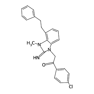 Cn1c(=N)n(CC(=O)c2ccc(Cl)cc2)c2cccc(CCc3ccccc3)c21